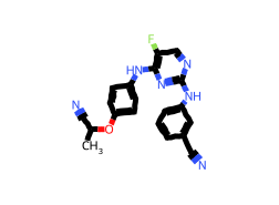 CC(C#N)Oc1ccc(Nc2nc(Nc3cccc(C#N)c3)ncc2F)cc1